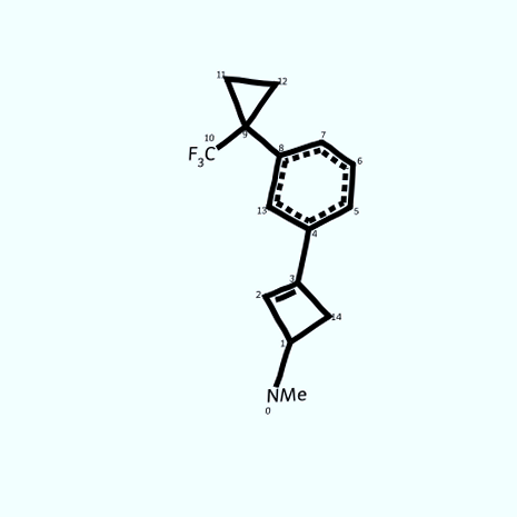 CNC1C=C(c2cccc(C3(C(F)(F)F)CC3)c2)C1